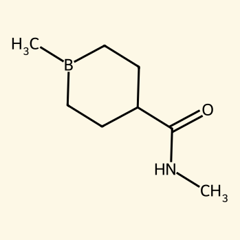 CNC(=O)C1CCB(C)CC1